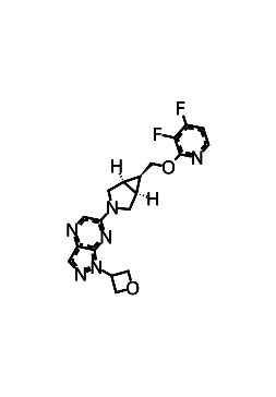 Fc1ccnc(OC[C@H]2[C@H]3CN(c4cnc5cnn(C6COC6)c5n4)C[C@@H]23)c1F